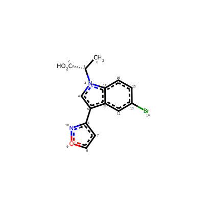 C[C@@H](C(=O)O)n1cc(-c2ccon2)c2cc(Br)ccc21